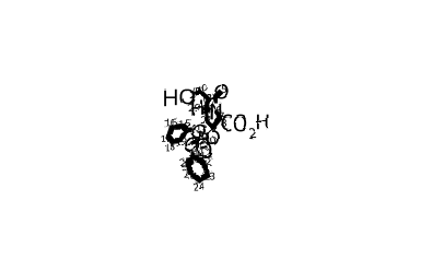 C[C@@H](O)[C@H]1C(=O)N2C(C(=O)O)=C(OP(=O)(Oc3ccccc3)Oc3ccccc3)C[C@H]12